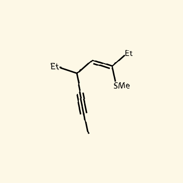 CC#CC(/C=C(/CC)SC)CC